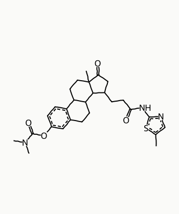 Cc1cnc(NC(=O)CCC2CC(=O)C3(C)CCC4c5ccc(OC(=O)N(C)C)cc5CCC4C23)s1